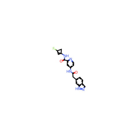 O=C(Cc1ccc2cn[nH]c2c1)Nc1ccnc(C(=O)NC23CC(F)(C2)C3)c1